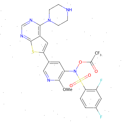 COc1ncc(-c2cc3c(N4CCNCC4)ncnc3s2)cc1N(OC(=O)C(F)(F)F)S(=O)(=O)c1ccc(F)cc1F